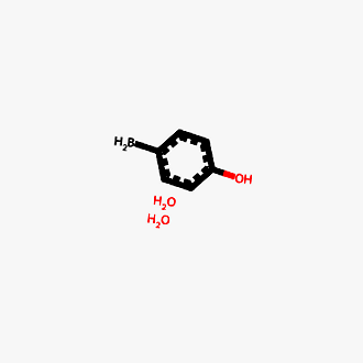 Bc1ccc(O)cc1.O.O